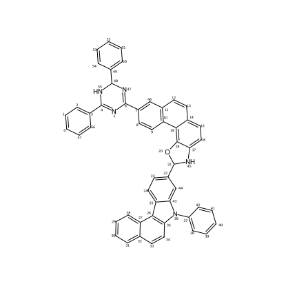 c1ccc(C2=NC(c3ccc4c(ccc5ccc6c(c54)OC(c4ccc5c7c8ccccc8ccc7n(-c7ccccc7)c5c4)N6)c3)=NC(c3ccccc3)N2)cc1